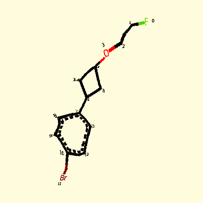 FCCOC1CC(c2ccc(Br)cc2)C1